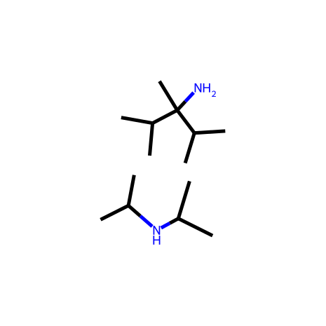 CC(C)C(C)(N)C(C)C.CC(C)NC(C)C